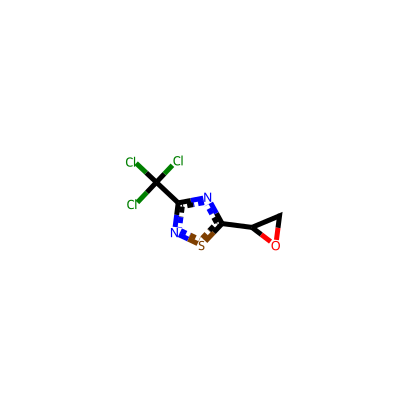 ClC(Cl)(Cl)c1nsc(C2CO2)n1